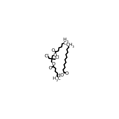 CCCCCC(=O)OCC(CCl)(CCl)COC(=O)CCCCC.CCCCCCCCCCCC(=O)O